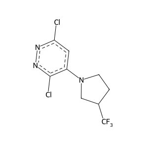 FC(F)(F)C1CCN(c2cc(Cl)nnc2Cl)C1